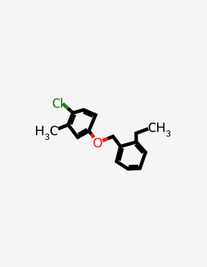 CCc1ccccc1COc1ccc(Cl)c(C)c1